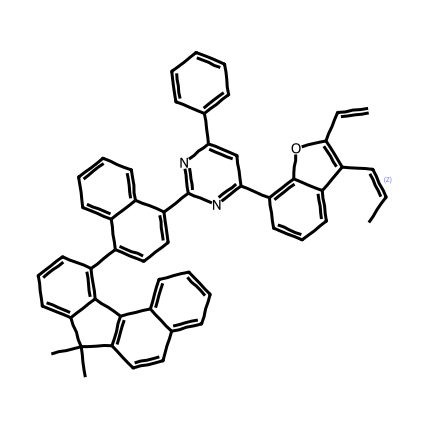 C=Cc1oc2c(-c3cc(-c4ccccc4)nc(-c4ccc(-c5cccc6c5-c5c(ccc7ccccc57)C6(C)C)c5ccccc45)n3)cccc2c1/C=C\C